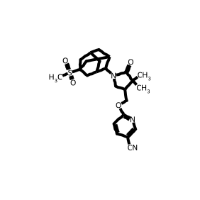 CC1(C)C(=O)N(C2C3CC4CC2CC(S(C)(=O)=O)(C4)C3)CC1COc1ccc(C#N)cn1